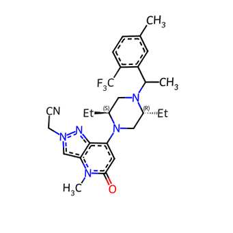 CC[C@H]1CN(C(C)c2cc(C)ccc2C(F)(F)F)[C@H](CC)CN1c1cc(=O)n(C)c2cn(CC#N)nc12